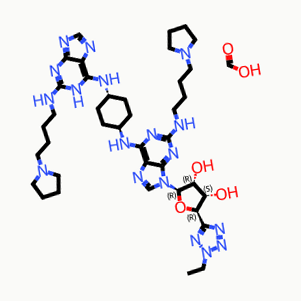 CCn1nnc([C@H]2O[C@@H](n3cnc4c(N[C@H]5CC[C@H](Nc6[nH]c(NCCCCN7CCCC7)nc7ncnc6-7)CC5)nc(NCCCCN5CCCC5)nc43)[C@H](O)[C@@H]2O)n1.O=CO